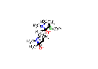 CCC(C)([O-])N(C)C.CCC(C)([O-])N(C)C.[Cl-].[Zr+3]